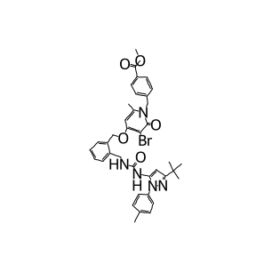 COC(=O)c1ccc(Cn2c(C)cc(OCc3ccccc3CNC(=O)Nc3cc(C(C)(C)C)nn3-c3ccc(C)cc3)c(Br)c2=O)cc1